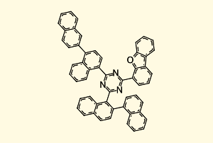 c1ccc2cc(-c3ccc(-c4nc(-c5c(-c6cccc7ccccc67)ccc6ccccc56)nc(-c5cccc6c5oc5ccccc56)n4)c4ccccc34)ccc2c1